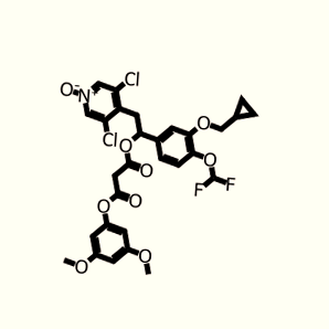 COc1cc(OC)cc(OC(=O)CC(=O)OC(Cc2c(Cl)c[n+]([O-])cc2Cl)c2ccc(OC(F)F)c(OCC3CC3)c2)c1